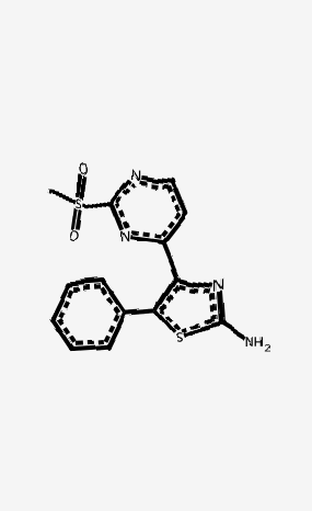 CS(=O)(=O)c1nccc(-c2nc(N)sc2-c2ccccc2)n1